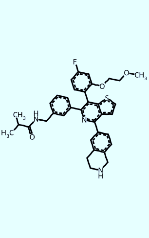 COCCOc1cc(F)ccc1-c1c(-c2cccc(CNC(=O)C(C)C)c2)nc(-c2ccc3c(c2)CCNC3)c2ccsc12